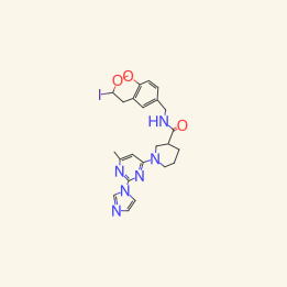 Cc1cc(N2CCCC(C(=O)NCc3ccc4c(c3)CC(I)OO4)C2)nc(-n2ccnc2)n1